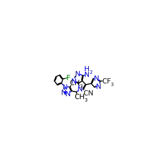 Cc1c(C(C)n2c(C#N)c(-c3cnc(C(F)(F)F)nc3)c3c(N)ncnc32)nnn1-c1ccccc1F